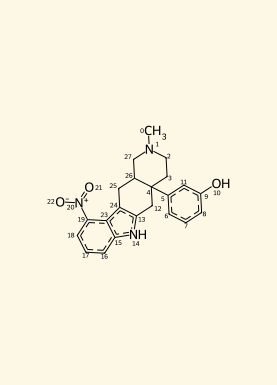 CN1CCC2(c3cccc(O)c3)Cc3[nH]c4cccc([N+](=O)[O-])c4c3CC2C1